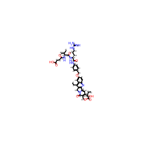 CCc1c2c(nc3ccc(OCc4ccc(NC(=O)[C@H](CCCNC(=N)N)NC(=O)[C@@H](NC(=O)CCC(=O)O)C(C)C)cc4)cc13)-c1cc3c(c(=O)n1C2)COC(=O)[C@]3(O)CC